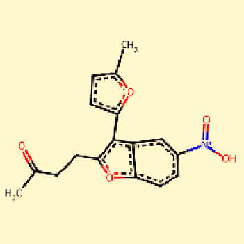 CC(=O)CCc1oc2ccc([N+](=O)O)cc2c1-c1ccc(C)o1